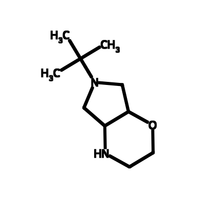 CC(C)(C)N1CC2NCCOC2C1